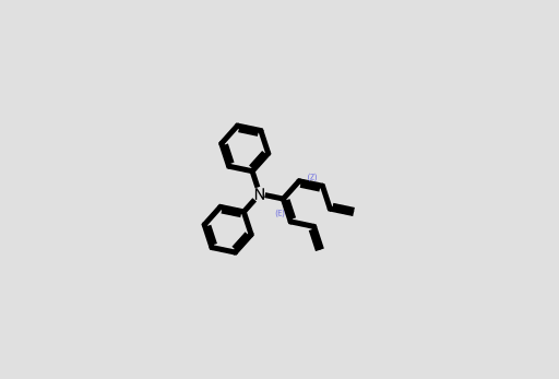 C=C/C=C\C(=C/C=C)N(c1ccccc1)c1ccccc1